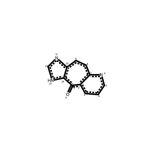 O=c1c2cccnc2ccc2nc[nH]c12